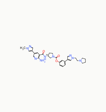 Cn1cc(-c2cnc(N)c(C(=O)N[C@@H]3CCN(C(=O)Oc4cccc(-c5cnn(CCN6CCCC6)c5)c4)C3)c2)cn1